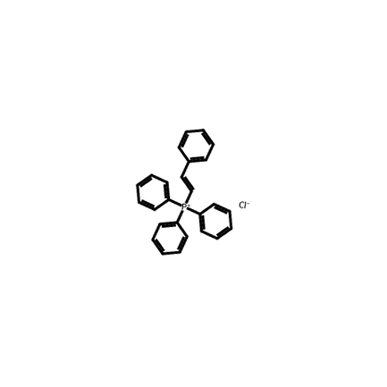 C(=C[P+](c1ccccc1)(c1ccccc1)c1ccccc1)c1ccccc1.[Cl-]